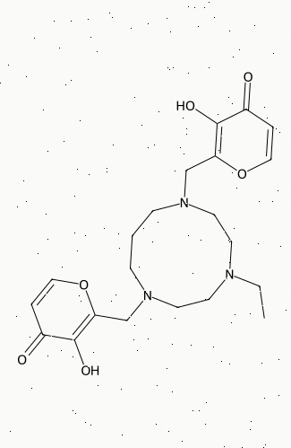 CCN1CCN(Cc2occc(=O)c2O)CCCN(Cc2occc(=O)c2O)CC1